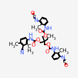 CCC(COC(=O)Nc1cccc(N=C=O)c1C)(COC(=O)Nc1cccc(N=C=O)c1C)COC(=O)Nc1ccc(C)c(C#N)c1C